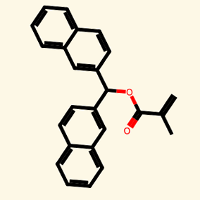 C=C(C)C(=O)OC(c1ccc2ccccc2c1)c1ccc2ccccc2c1